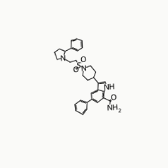 NC(=O)c1cc(-c2ccccc2)cc2c(C3CCN(S(=O)(=O)CCN4CCCC4c4ccccc4)CC3)c[nH]c12